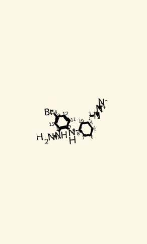 [N-]=[N+]=NC[C@@H]1CCC[C@H](Nc2ccc(Br)cc2NN)C1